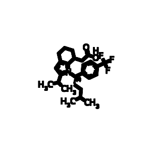 CC(C)CC[C@@H](c1ccc(C(F)(F)F)cc1)n1c(C(C)C)cc2c1C(CC(=O)O)CCC2